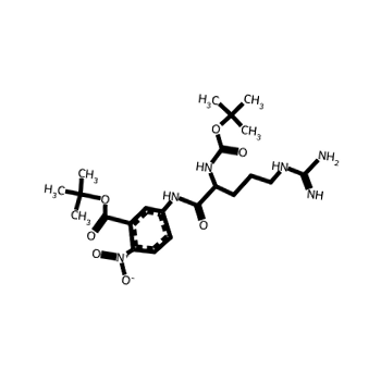 CC(C)(C)OC(=O)NC(CCCNC(=N)N)C(=O)Nc1ccc([N+](=O)[O-])c(C(=O)OC(C)(C)C)c1